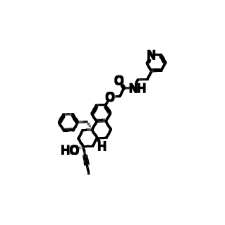 CC#C[C@@]1(O)CC[C@@]2(Cc3ccccc3)c3ccc(OCC(=O)NCCc4cccnc4)cc3CC[C@@H]2C1